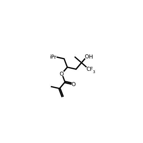 C=C(C)C(=O)OC(CC(C)C)CC(C)(O)C(F)(F)F